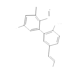 CCCOc1c(-c2cc(/C=C/C(=O)OCC)ccc2OC)cc(C(C)(C)C)cc1C(C)(C)C